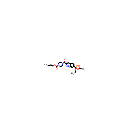 CCCCOC(=O)N1CCN(C(=O)C(N)Cc2ccc(C(OCC)(OCC)[PH2]=O)cc2)CC1